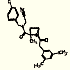 Cc1cc(C)cc(CC(=O)N2CCC2(C)C(=O)N(CC#N)Cc2ccc(Cl)cc2)c1